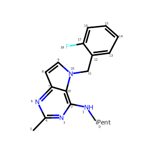 CCCC(C)Nc1nc(C)nc2ccn(Cc3ccccc3F)c12